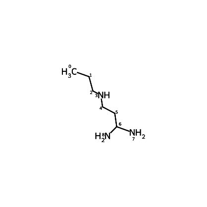 CCCNCCC(N)N